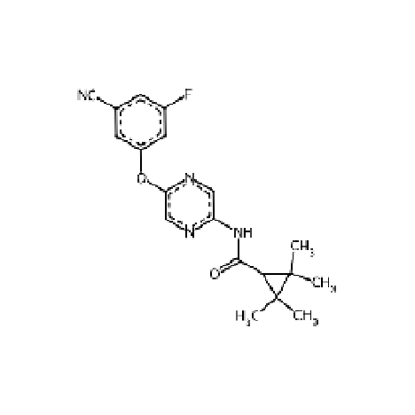 CC1(C)C(C(=O)Nc2cnc(Oc3cc(F)cc(C#N)c3)cn2)C1(C)C